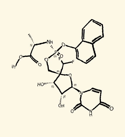 CC(C)OC(=O)[C@H](C)N[P@](=O)(OC[C@@]1(C(F)F)O[C@@H](n2ccc(=O)[nH]c2=O)[C@H](O)[C@@H]1O)Oc1cccc2ccccc12